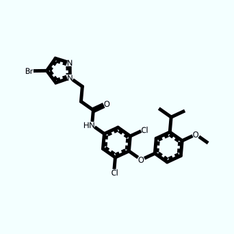 COc1ccc(Oc2c(Cl)cc(NC(=O)CCn3cc(Br)cn3)cc2Cl)cc1C(C)C